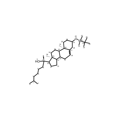 CC(C)CCCC[C@](C)(O)C1CCC2C3CC=C4CC(O[Si](C)(C)C(C)(C)C)CC[C@]4(C)C3CC[C@@]21C